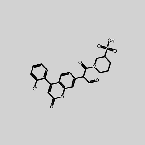 O=CC(C(=O)N1CCCC(S(=O)(=O)O)C1)c1ccc2c(-c3ccccc3Cl)cc(=O)oc2c1